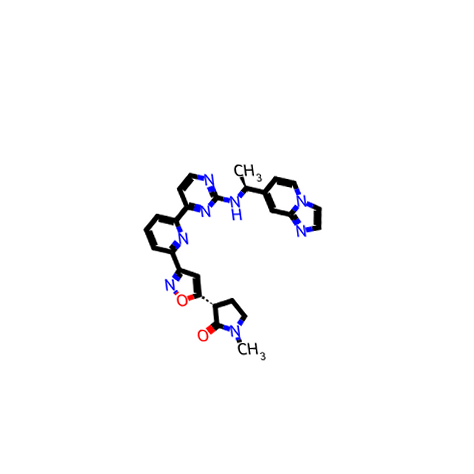 C[C@H](Nc1nccc(-c2cccc(-c3cc([C@@H]4CCN(C)C4=O)on3)n2)n1)c1ccn2ccnc2c1